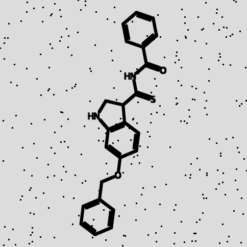 O=C(NC(=S)C1CNc2cc(OCc3ccccc3)ccc21)c1ccccc1